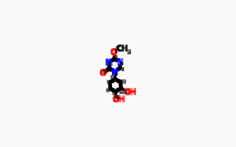 COc1ncn(-c2ccc(O)c(O)c2)c(=O)n1